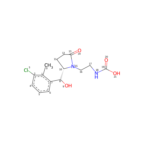 Cc1c(Cl)cccc1C(O)[C@@H]1CCC(=O)N1CCNC(=O)O